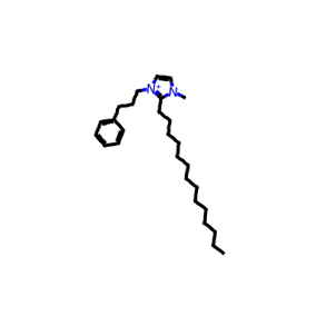 CCCCCCCCCCCCCCc1n(C)cc[n+]1CCCc1ccccc1